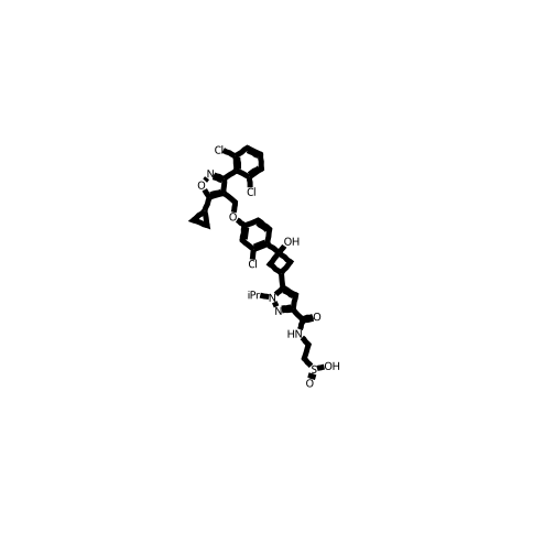 CC(C)n1nc(C(=O)NCCS(=O)O)cc1C1CC(O)(c2ccc(OCc3c(-c4c(Cl)cccc4Cl)noc3C3CC3)cc2Cl)C1